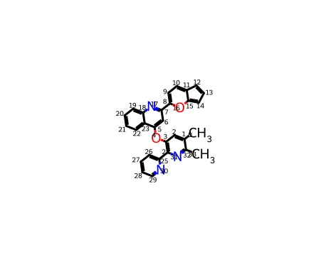 Cc1cc(Oc2cc(-c3ccc4cccc-4o3)nc3ccccc23)c(-c2ccccn2)nc1C